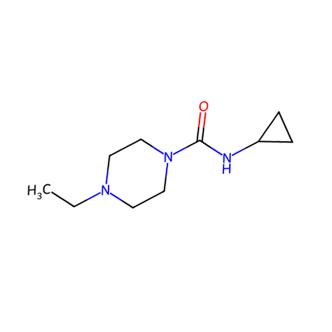 CCN1CCN(C(=O)NC2CC2)CC1